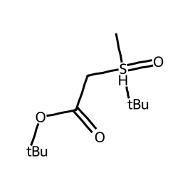 CC(C)(C)OC(=O)C[SH](C)(=O)C(C)(C)C